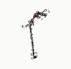 CCCCc1c2c(nc3cc4c(cc13)OCO4)-c1cc3c(c(=O)n1C2)COC(=O)[C@@]3(OC)OC(=O)OCc1ccc(NC(=O)[C@H](CCCCN)NC(=O)CCOCCOCCOCCOCCOCCOCCOCCOCCNC(=O)CCN2C(=O)C=CC2=O)cc1